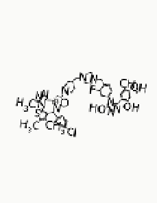 Cc1cc(-c2nnc(O)n2-c2ccc(CN3CCN(CC4CCN(C(=O)C[C@@H]5N=C(c6ccc(Cl)cc6)c6c(sc(C)c6C)-n6c(C)nnc65)CC4)CC3)c(F)c2)c(O)cc1O